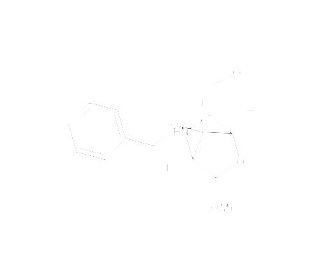 CO[C@H]1O[C@H]2[C@H](OCc3ccccc3)[C@@H]1N[C@@H]2CO